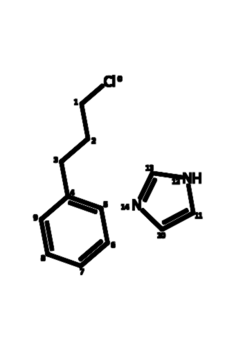 ClCCCc1ccccc1.c1c[nH]cn1